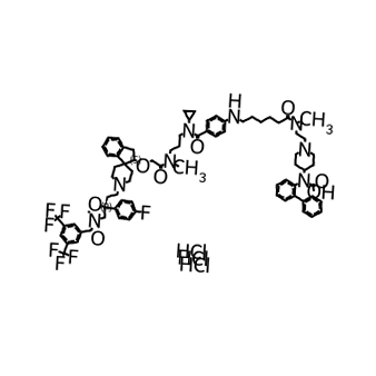 CN(CCN1CCC(N(C(=O)O)c2ccccc2-c2ccccc2)CC1)C(=O)CCCCCNc1ccc(C(=O)N(CCCN(C)C(=O)CO[C@H]2Cc3ccccc3C23CCN(CC[C@@]2(c4ccc(F)cc4)CN(C(=O)c4cc(C(F)(F)F)cc(C(F)(F)F)c4)CO2)CC3)C2CC2)cc1.Cl.Cl.Cl